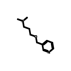 CN(C)CCCOCc1cccnc1